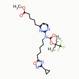 COC(=O)CCCCc1ccnc(N(CCCCCc2nc(C3CC3)no2)C(=O)OC(C)(C)C(F)(F)F)n1